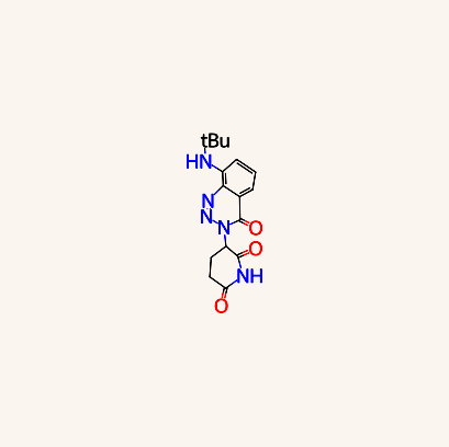 CC(C)(C)Nc1cccc2c(=O)n(C3CCC(=O)NC3=O)nnc12